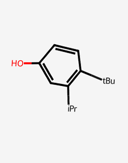 CC(C)c1cc(O)ccc1C(C)(C)C